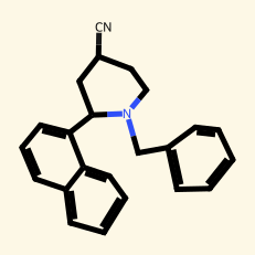 N#CC1CCN(Cc2ccccc2)C(c2cccc3ccccc23)C1